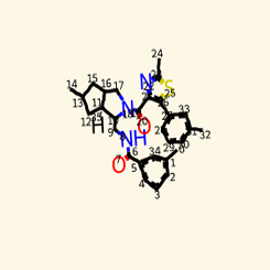 Cc1cccc(C(=O)NCC2[C@H]3CC(C)CC3CN2C(=O)c2nc(C)sc2-c2cccc(C)c2)c1